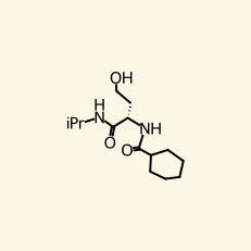 CC(C)NC(=O)[C@H](CCO)NC(=O)C1CCCCC1